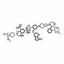 CC(C)c1ccccc1[C@@H]1COCCN1C1CC2(CCN(c3ccc(C(=O)NS(=O)(=O)c4cc5c(c([N+](=O)[O-])c4)O[C@@H](C4CCC(C)(C)CC4)CN5)c(Oc4cnc5[nH]ccc5c4)c3)CC2)C1